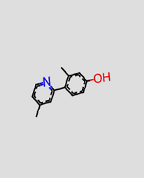 Cc1ccnc(-c2ccc(O)cc2C)c1